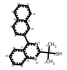 CC(C)(S)c1nc(-c2ccc3ccccc3c2)c2ccccc2n1